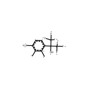 Cc1c(N)ccc(C(O)(C(F)(F)F)C(F)(F)F)c1C